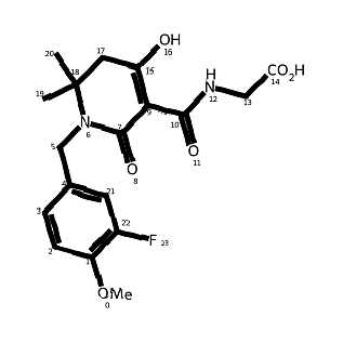 COc1ccc(CN2C(=O)C(C(=O)NCC(=O)O)=C(O)CC2(C)C)cc1F